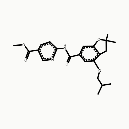 COC(=O)c1ccc(NC(=O)c2cc(OCC(C)C)c3c(c2)OC(C)(C)C3)nc1